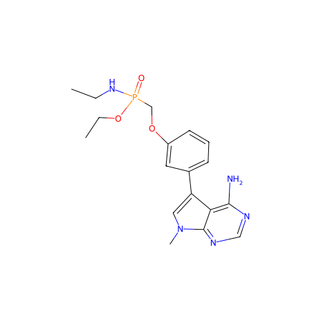 CCNP(=O)(COc1cccc(-c2cn(C)c3ncnc(N)c23)c1)OCC